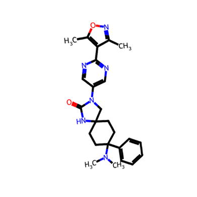 Cc1noc(C)c1-c1ncc(N2CC3(CCC(c4ccccc4)(N(C)C)CC3)NC2=O)cn1